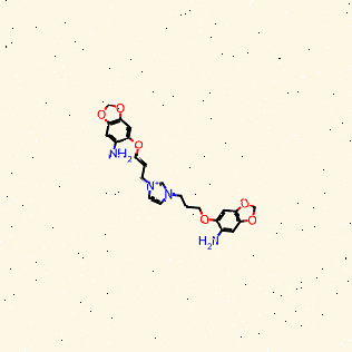 Nc1cc2c(cc1OCCCn1cc[n+](CCCOc3cc4c(cc3N)OCO4)c1)OCO2